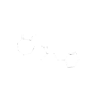 O=C(C=Cc1cccnc1)N[C@@H]1CCCCNC1=O